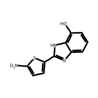 O=[N+]([O-])c1ccc(-c2nc3cccc(O)c3[nH]2)s1